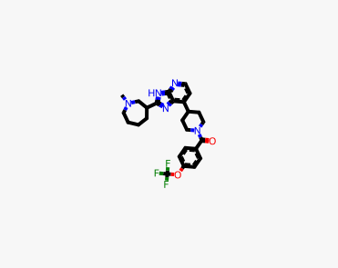 CN1CCCCC(c2nc3c(C4CCN(C(=O)c5ccc(OC(F)(F)F)cc5)CC4)ccnc3[nH]2)C1